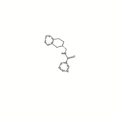 O=C(NCC1CCc2ccccc2C1)c1cccnc1